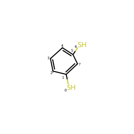 Sc1[c]ccc(S)c1